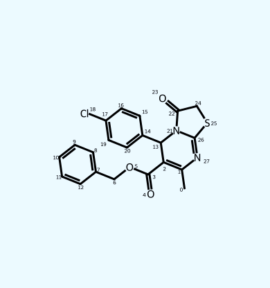 CC1=C(C(=O)OCc2ccccc2)C(c2ccc(Cl)cc2)N2C(=O)CSC2=N1